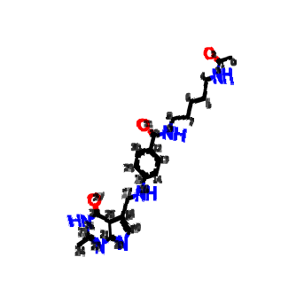 CC(=O)NCCCCCNC(=O)c1ccc(NCC2=CN=C3N=C(C)NC(=O)C23)cc1